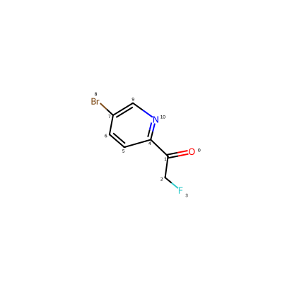 O=C(CF)c1ccc(Br)cn1